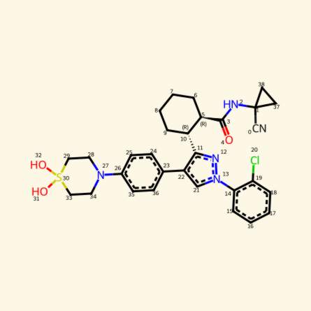 N#CC1(NC(=O)[C@@H]2CCCC[C@H]2c2nn(-c3ccccc3Cl)cc2-c2ccc(N3CCS(O)(O)CC3)cc2)CC1